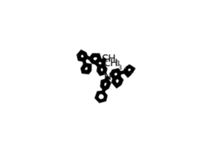 CC1(C)c2ccc(-c3ccccc3-c3ccccc3)cc2-c2ccc(N(c3ccc(C4CCCCC4)cc3)c3ccc(C4CC5CCC4C5)c4ccccc34)cc21